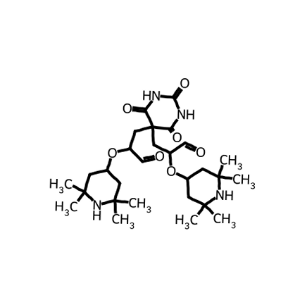 CC1(C)CC(OC(C=O)CC2(CC(C=O)OC3CC(C)(C)NC(C)(C)C3)C(=O)NC(=O)NC2=O)CC(C)(C)N1